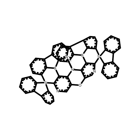 c1ccc2c(c1)-c1ccccc1[Si]21c2cccc3c2B2c4c1ncc1c4[N+]4(c5c(cnc6c5B5c7c(cccc7[Si]67c6ccccc6-c6ccccc67)-c6ccc[n+]4c65)O1)[n+]1cccc-3c12